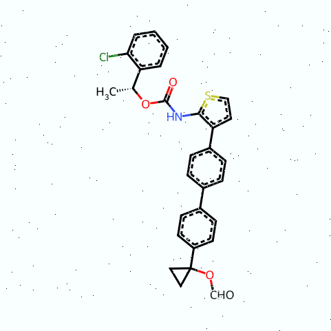 C[C@@H](OC(=O)Nc1sccc1-c1ccc(-c2ccc(C3(OC=O)CC3)cc2)cc1)c1ccccc1Cl